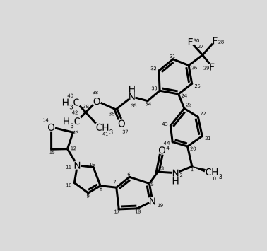 C[C@@H](NC(=O)c1cc(C2=CCN(C3COC3)C2)ccn1)c1ccc(-c2cc(C(F)(F)F)ccc2CNC(=O)OC(C)(C)C)cc1